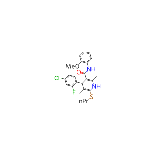 CCCSC1=C(C)C(c2ccc(Cl)cc2F)C(C(=O)Nc2ccccc2OC)=C(C)N1